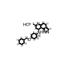 Cc1cc(Nc2ccc(OCc3ccccc3)cc2)c2c(ccc3cn[nH]c32)n1.Cl